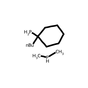 CCCCC1(P)CCCCC1.CPC